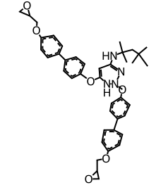 CC(C)(C)CC(C)(C)NC1=NN(Oc2ccc(-c3ccc(OCC4CO4)cc3)cc2)NC(Oc2ccc(-c3ccc(OCC4CO4)cc3)cc2)=C1